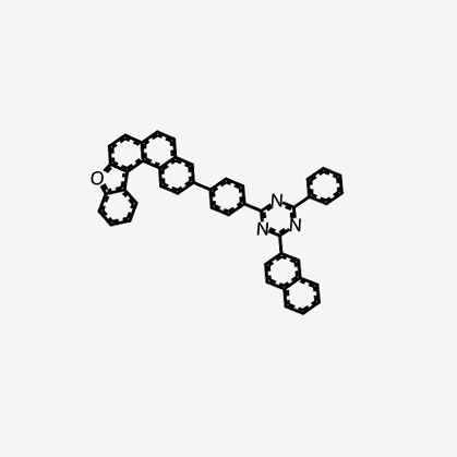 c1ccc(-c2nc(-c3ccc(-c4ccc5c(ccc6ccc7oc8ccccc8c7c65)c4)cc3)nc(-c3ccc4ccccc4c3)n2)cc1